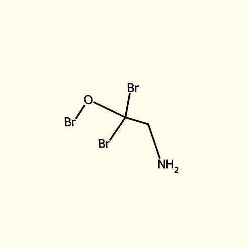 NCC(Br)(Br)OBr